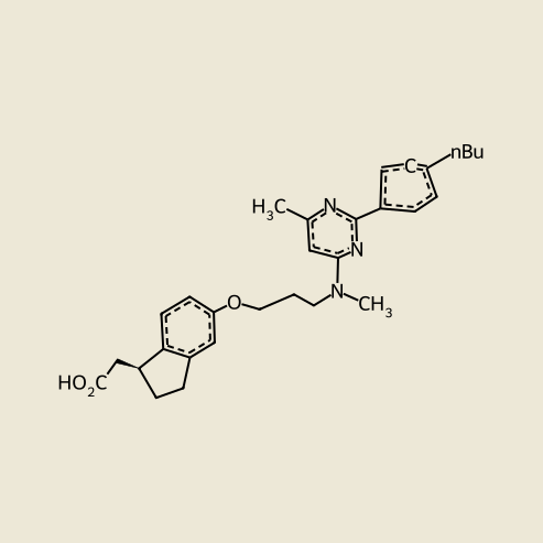 CCCCc1ccc(-c2nc(C)cc(N(C)CCCOc3ccc4c(c3)CC[C@H]4CC(=O)O)n2)cc1